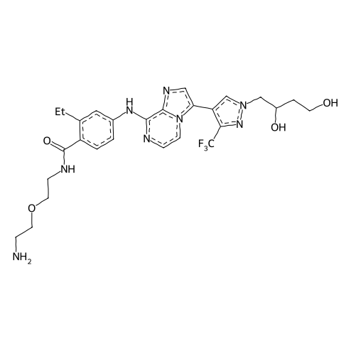 CCc1cc(Nc2nccn3c(-c4cn(CC(O)CCO)nc4C(F)(F)F)cnc23)ccc1C(=O)NCCOCCN